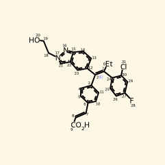 CC/C(=C(/c1ccc(C=CC(=O)O)cc1)c1ccc2nn(CCO)cc2c1)c1ccc(F)cc1Cl